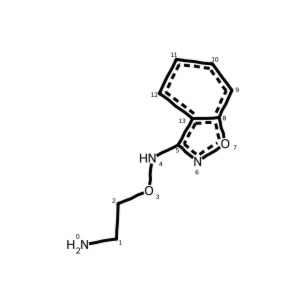 NCCONc1noc2ccccc12